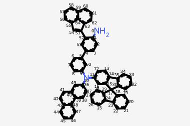 Nc1ccc(-c2cccc(N(c3ccc4c(c3)C3(c5ccccc5-c5ccccc53)c3ccccc3-4)c3ccc4c(ccc5ccccc54)c3)c2)cc1C1=Cc2cccc3cccc1c23